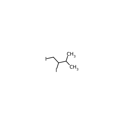 CC(C)C(I)CI